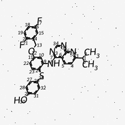 CC(C)c1ccc2c(Nc3cc(OCc4cc(F)ccc4F)ccc3Sc3ccc(O)cc3)ncnc2n1